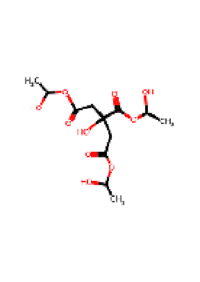 CC(O)OC(=O)CC(O)(CC(=O)OC(C)O)C(=O)OC(C)O